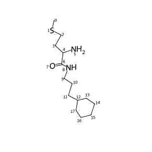 CSCCC(N)C(=O)NCCCC1CCCCC1